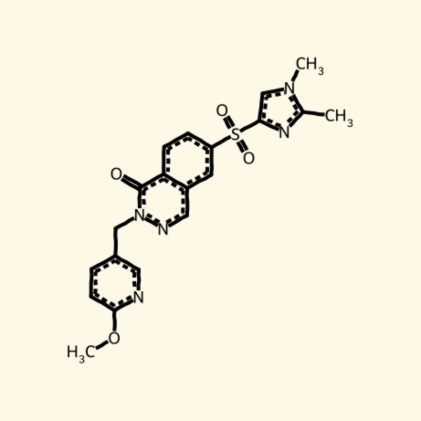 COc1ccc(Cn2ncc3cc(S(=O)(=O)c4cn(C)c(C)n4)ccc3c2=O)cn1